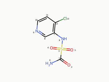 NC(=O)S(=O)(=O)Nc1cnccc1Cl